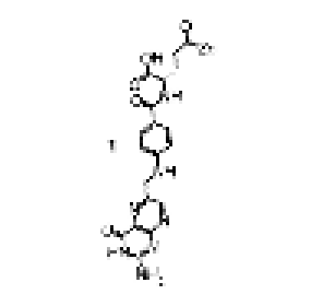 Nc1nc2ncc(CNc3ccc(C(=O)N[C@@H](CC[C](=O)[Zn])C(=O)O)cc3)nc2c(=O)[nH]1.[Ti]